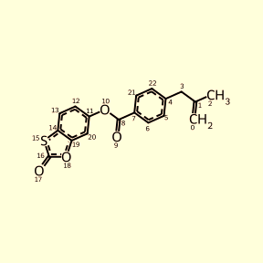 C=C(C)Cc1ccc(C(=O)Oc2ccc3sc(=O)oc3c2)cc1